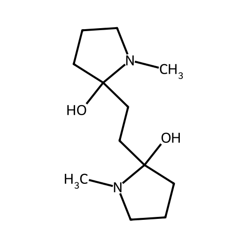 CN1CCCC1(O)CCC1(O)CCCN1C